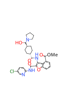 COC(=O)c1cccc2oc(C(=O)Nc3ccc(Cl)cn3)c(NC(=O)[C@H]3CC[C@H](C(O)N4CCCC4)CC3)c12